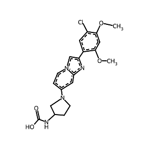 COc1cc(OC)c(-c2cn3ccc(N4CCC(NC(=O)O)C4)cc3n2)cc1Cl